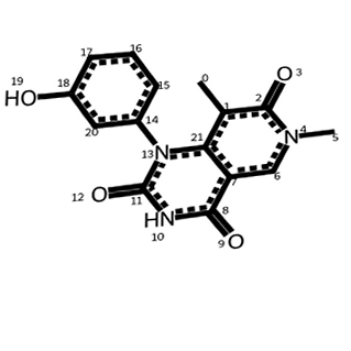 Cc1c(=O)n(C)cc2c(=O)[nH]c(=O)n(-c3cccc(O)c3)c12